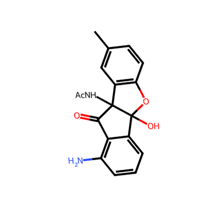 CC(=O)NC12C(=O)c3c(N)cccc3C1(O)Oc1ccc(C)cc12